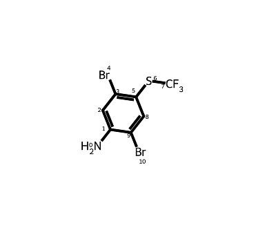 Nc1cc(Br)c(SC(F)(F)F)cc1Br